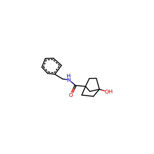 O=C(NCc1ccccc1)C12CCC(O)(CC1)C2